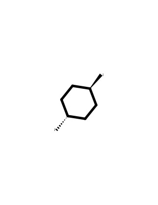 [CH][C@H]1CC[C@H]([CH])CC1